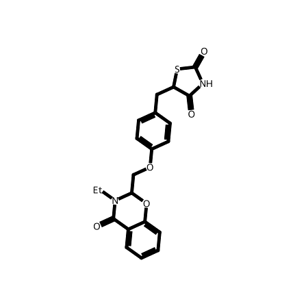 CCN1C(=O)c2ccccc2OC1COc1ccc(CC2SC(=O)NC2=O)cc1